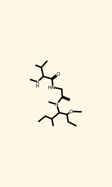 C=C(CNC(=O)C(NC)C(C)C)N(C)C(C(C)CC)C(CC)OC